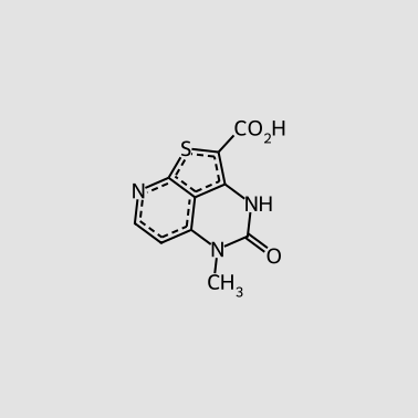 CN1C(=O)Nc2c(C(=O)O)sc3nccc1c23